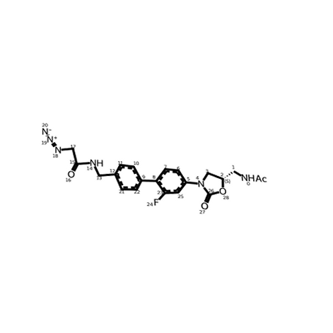 CC(=O)NC[C@H]1CN(c2ccc(-c3ccc(CNC(=O)CN=[N+]=[N-])cc3)c(F)c2)C(=O)O1